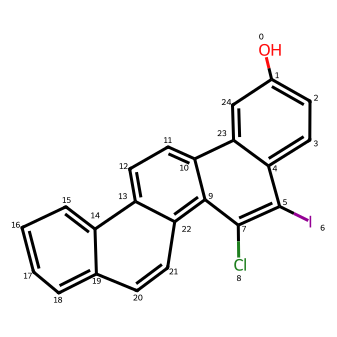 Oc1ccc2c(I)c(Cl)c3c(ccc4c5ccccc5ccc43)c2c1